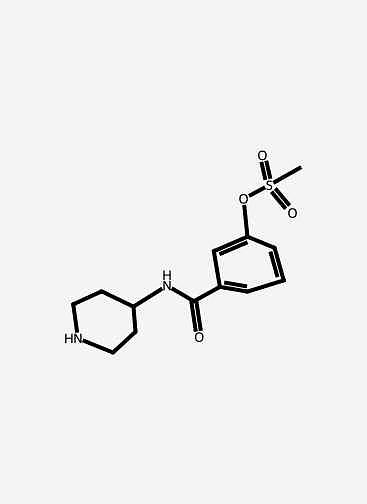 CS(=O)(=O)Oc1cccc(C(=O)NC2CCNCC2)c1